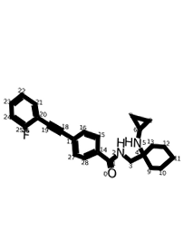 O=C(NCC1(NC2CC2)CCCCC1)c1ccc(C#Cc2ccccc2F)cc1